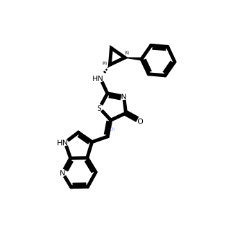 O=C1N=C(N[C@@H]2C[C@H]2c2ccccc2)S/C1=C\c1c[nH]c2ncccc12